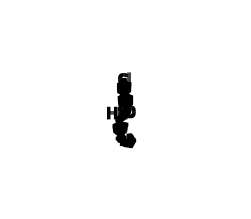 CC(c1ccc(CCNC(=O)c2ccc(-c3ccc(Cl)cc3)cc2)cc1)N1CCCC1